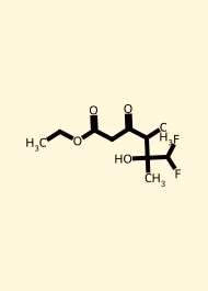 CCOC(=O)CC(=O)C(C)C(C)(O)C(F)F